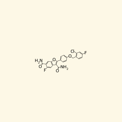 NC(=O)c1cc2oc(-c3ccc(OCc4ccc(F)cc4Cl)cc3)c(C(N)=O)c2cc1F